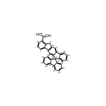 OB(O)c1cccc2c1Cc1cc3c(cc1-2)C1(c2ccccc2-c2ccccc21)c1ccccc1-3